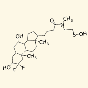 CN(CCSO)C(=O)CCCC1CCC2C3C(O)CC4CC(O)C(F)(F)CC4(C)C3CCC12C